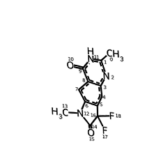 Cc1nc2cc3c(cc2c(=O)[nH]1)N(C)C(=O)C3(F)F